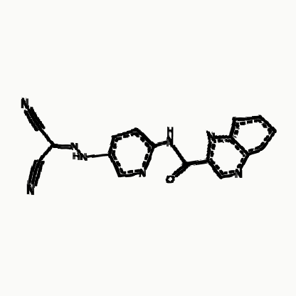 N#CC(C#N)=NNc1ccc(NC(=O)c2cnc3ccccc3n2)nc1